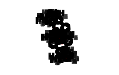 CCC1=CC2=C(C=CC=CC2c2ccc([Si](C)(C)C)c(C)c2)[C]12[SiH](C)[C]1(C(CC)=CC3=C1C=CC=CC3c1ccc([Si](C)(C)C)c(C)c1)[Hf]21([Cl])([Cl])[C]2(C(CC)=CC3=C2C=CC=CC3c2ccc([Si](C)(C)C)c(C)c2)[SiH](C)[C]12C(CC)=CC1=C2C=CC=CC1c1ccc([Si](C)(C)C)c(C)c1